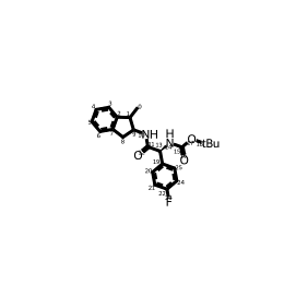 CC1c2ccccc2CC1NC(=O)[C@@H](NC(=O)OC(C)(C)C)c1ccc(F)cc1